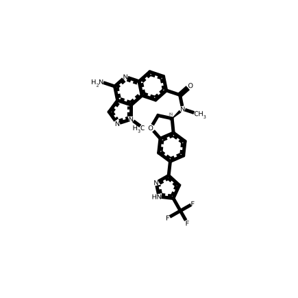 CN(C(=O)c1ccc2nc(N)c3cnn(C)c3c2c1)[C@@H]1COc2cc(-c3cc(C(F)(F)F)[nH]n3)ccc21